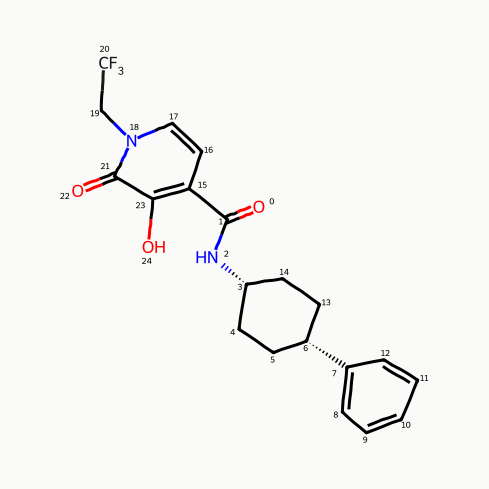 O=C(N[C@H]1CC[C@@H](c2ccccc2)CC1)c1ccn(CC(F)(F)F)c(=O)c1O